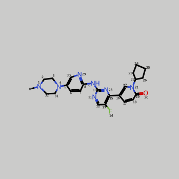 CN1CCN(c2ccc(Nc3ncc(F)c(-c4ccc(=O)n(C5CCCC5)c4)n3)nc2)CC1